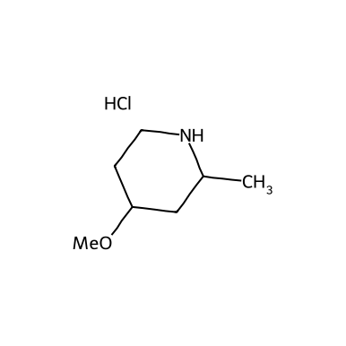 COC1CCNC(C)C1.Cl